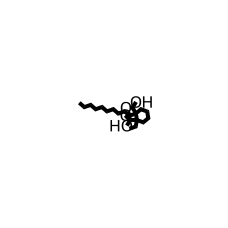 CCCCCCCCCCC1(C(=O)O)CCCCC1(CC)C(=O)O